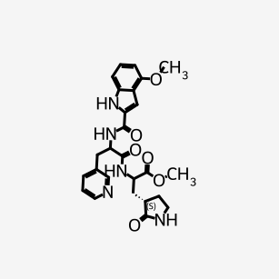 COC(=O)C(C[C@@H]1CCNC1=O)NC(=O)C(Cc1cccnc1)NC(=O)c1cc2c(OC)cccc2[nH]1